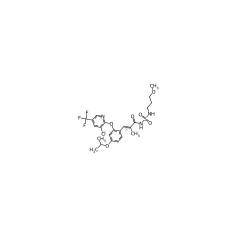 COCCCNS(=O)(=O)NC(=O)/C(C)=C/c1ccc(OC(C)C)cc1Oc1ncc(C(F)(F)F)cc1Cl